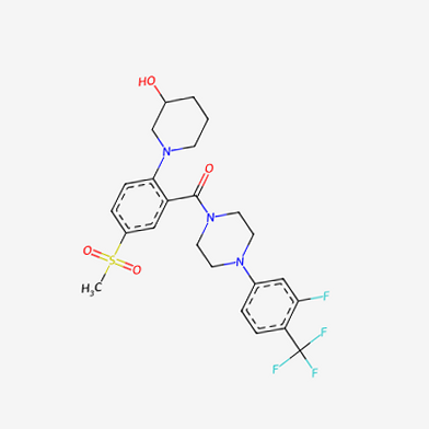 CS(=O)(=O)c1ccc(N2CCCC(O)C2)c(C(=O)N2CCN(c3ccc(C(F)(F)F)c(F)c3)CC2)c1